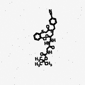 CC(C)(C)OC(=O)NCC(=O)NNC(=O)CN(Cc1ccc(C#N)cc1)C(=O)CSc1ccccc1Cl